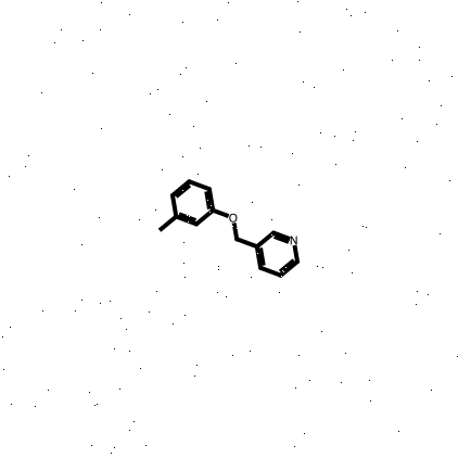 Cc1cccc(OCc2cccnc2)c1